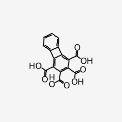 O=C(O)c1c(C(=O)O)c(C(=O)O)c2c(c1C(=O)O)-c1ccccc1-2